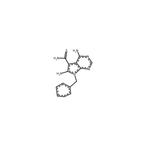 NC(=S)c1c(N)n(Cc2ccccc2)c2ncnc(N)c12